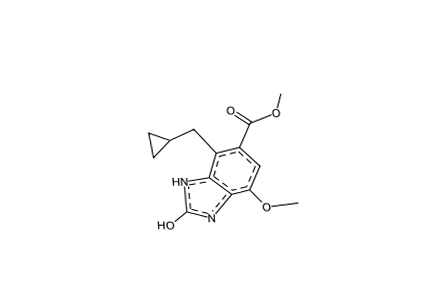 COC(=O)c1cc(OC)c2nc(O)[nH]c2c1CC1CC1